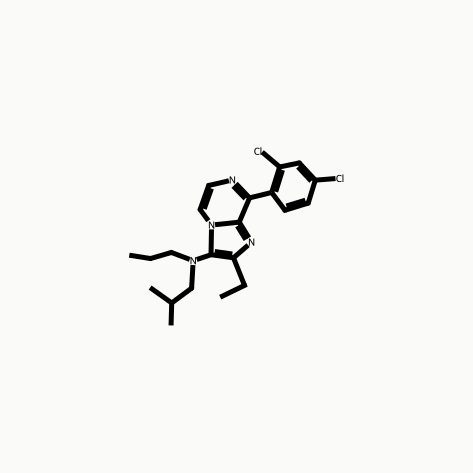 CCCN(CC(C)C)c1c(CC)nc2c(-c3ccc(Cl)cc3Cl)nccn12